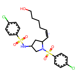 O=S(=O)(NC1CC(/C=C\CCCCO)N(S(=O)(=O)c2ccc(Cl)cc2)C1)c1ccc(Cl)cc1